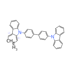 C/C=c1\c(=C/C)n(-c2ccc(-c3ccc(-n4c5ccccc5c5ccccc54)cc3)cc2)c2ccccc12